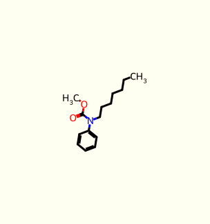 CCCCCCCN(C(=O)OC)c1ccccc1